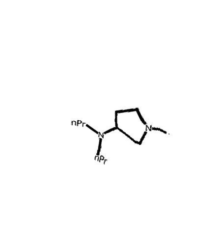 [CH2]N1CCC(N(CCC)CCC)C1